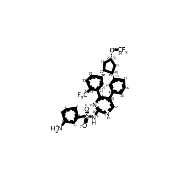 Nc1cccc(S(=O)(=O)Nc2ncc(-c3cccc([C@@H]4CC[C@H](OC(F)(F)F)C4)c3)c(-c3ccccc3C(F)(F)F)n2)c1